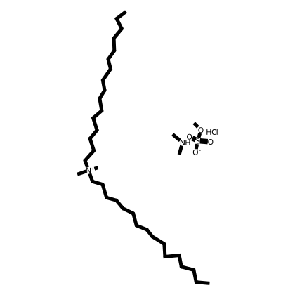 CCCCCCCCCCCCCCCC[N+](C)(C)CCCCCCCCCCCCCCCC.CNC.COS(=O)(=O)[O-].Cl